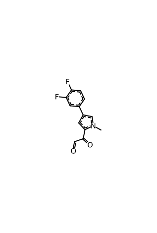 Cn1cc(-c2ccc(F)c(F)c2)cc1C(=O)C=O